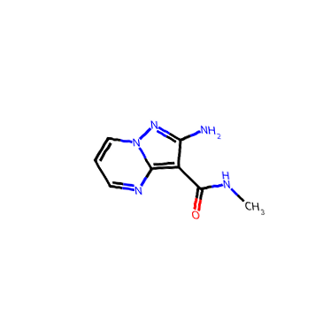 CNC(=O)c1c(N)nn2cccnc12